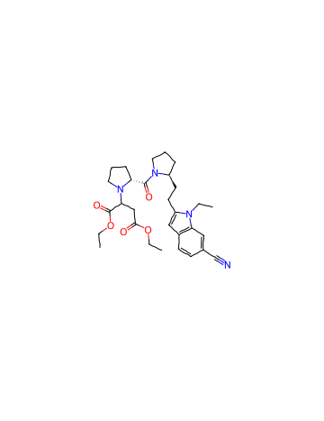 CCOC(=O)CC(C(=O)OCC)N1CCC[C@@H]1C(=O)N1CCC[C@H]1CCc1cc2ccc(C#N)cc2n1CC